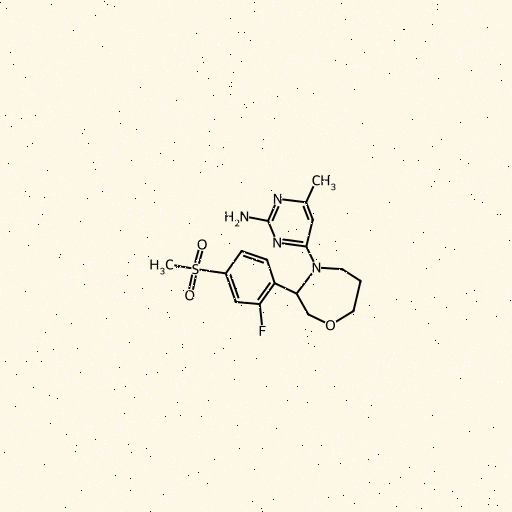 Cc1cc(N2CCCOCC2c2ccc(S(C)(=O)=O)cc2F)nc(N)n1